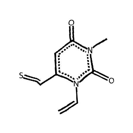 C=Cn1c(C=S)cc(=O)n(C)c1=O